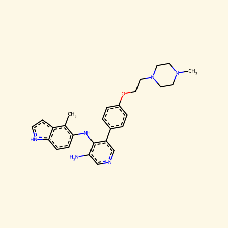 Cc1c(Nc2c(N)cncc2-c2ccc(OCCN3CCN(C)CC3)cc2)ccc2[nH]ccc12